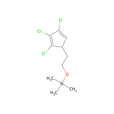 C[Si](C)(C)OCCC1C=C(Cl)C(Cl)=C1Cl